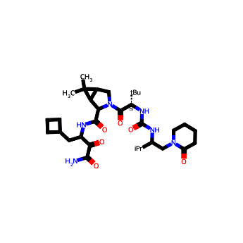 CC(C)C(CN1CCCCC1=O)NC(=O)N[C@H](C(=O)N1CC2C(C1C(=O)NC(CC1CCC1)C(=O)C(N)=O)C2(C)C)C(C)(C)C